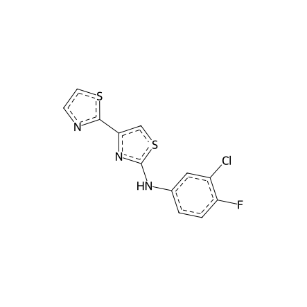 Fc1ccc(Nc2nc(-c3nccs3)cs2)cc1Cl